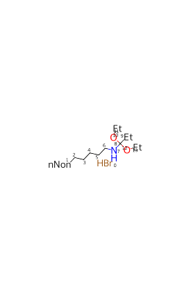 Br.CCCCCCCCCCCCCCNC(CC)(OCC)OCC